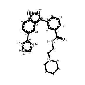 O=C(NCCN1CCCCC1)c1cccc(-c2n[nH]c3ccc(-c4nc[nH]n4)cc23)c1